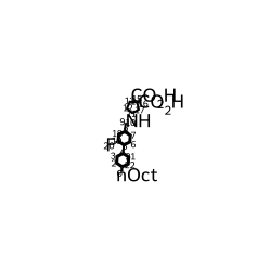 CCCCCCCCc1ccc(-c2ccc(CNC3CCC(C(=O)O)(C(=O)O)C3)cc2F)cc1